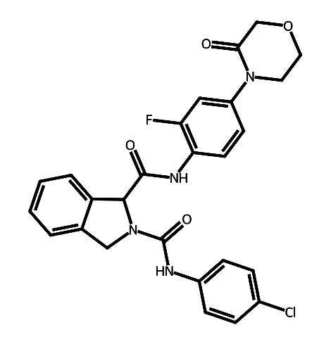 O=C(Nc1ccc(N2CCOCC2=O)cc1F)C1c2ccccc2CN1C(=O)Nc1ccc(Cl)cc1